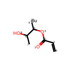 C=CC(=O)OC(C(C)O)C(C)CC